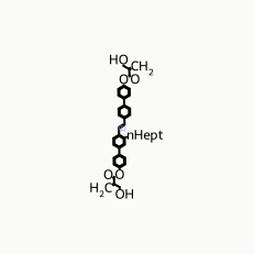 C=C(CO)C(=O)Oc1ccc(-c2ccc(/C=C/c3ccc(-c4ccc(OC(=O)C(=C)CO)cc4)cc3CCCCCCC)cc2)cc1